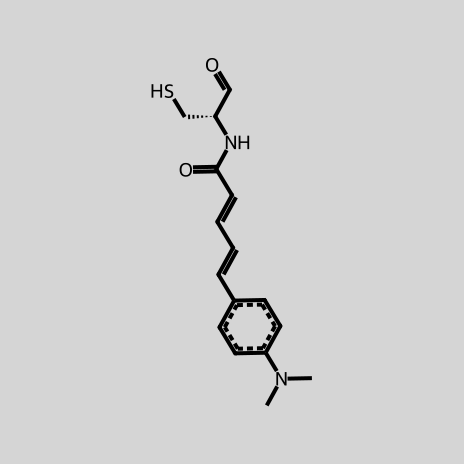 CN(C)c1ccc(/C=C/C=C/C(=O)N[C@@H](C=O)CS)cc1